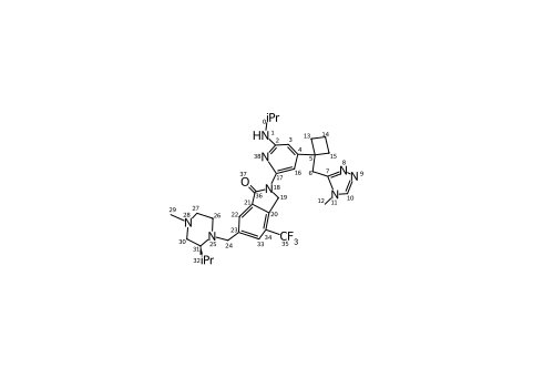 CC(C)Nc1cc(C2(Cc3nncn3C)CCC2)cc(N2Cc3c(cc(CN4CCN(C)C[C@@H]4C(C)C)cc3C(F)(F)F)C2=O)n1